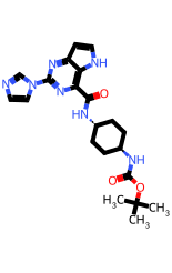 CC(C)(C)OC(=O)N[C@H]1CC[C@H](NC(=O)c2nc(-n3ccnc3)nc3cc[nH]c23)CC1